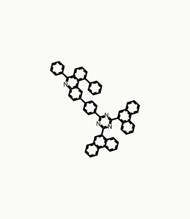 c1ccc(-c2nc3ccc(-c4ccc(-c5nc(-c6cc7ccccc7c7ccccc67)nc(-c6cc7ccccc7c7ccccc67)n5)cc4)cc3c3c(-c4ccccc4)cccc23)cc1